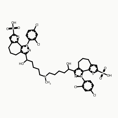 CN(CCCCC(O)c1nn(-c2ccc(Cl)cc2Cl)c2c1CCCc1cc(S(=O)(=O)O)sc1-2)CCCCC(O)c1nn(-c2ccc(Cl)cc2Cl)c2c1CCCc1cc(S(=O)(=O)O)sc1-2